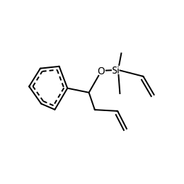 C=CCC(O[Si](C)(C)C=C)c1ccccc1